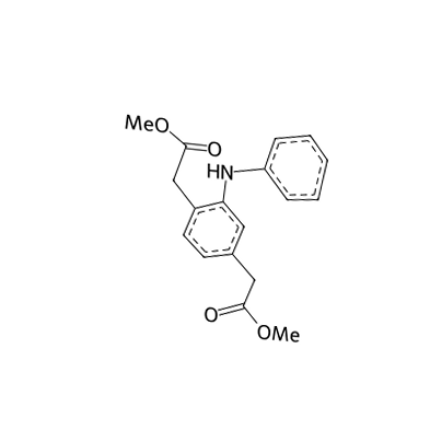 COC(=O)Cc1ccc(CC(=O)OC)c(Nc2ccccc2)c1